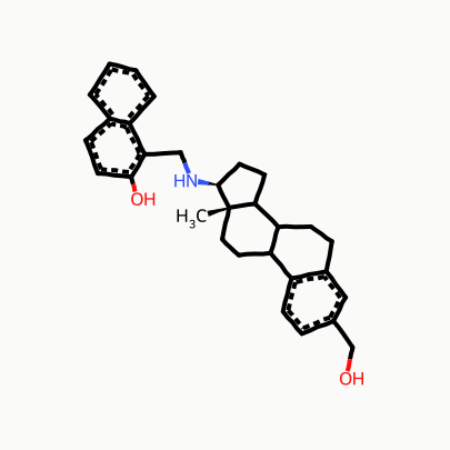 C[C@]12CCC3c4ccc(CO)cc4CCC3C1CC[C@@H]2NCc1c(O)ccc2ccccc12